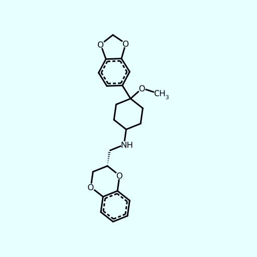 COC1(c2ccc3c(c2)OCO3)CCC(NC[C@H]2COc3ccccc3O2)CC1